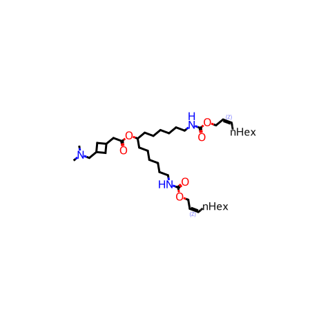 CCCCCC/C=C\COC(=O)NCCCCCCC(CCCCCCNC(=O)OC/C=C\CCCCCC)OC(=O)CC1CC(CN(C)C)C1